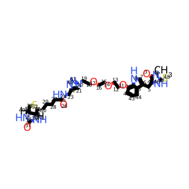 CN1C(=O)C(Cc2c[nH]c3c(OCCOCCOCCn4cc(CNC(=O)CCCC[C@H]5SC[C@@H]6NC(=O)N[C@@H]65)nn4)cccc23)NC1=S